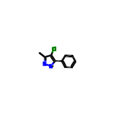 CC1=N[N]C(c2ccccc2)=C1Cl